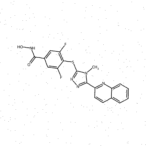 Cn1c(Sc2c(F)cc(C(=O)NO)cc2F)nnc1-c1ccc2ccccc2n1